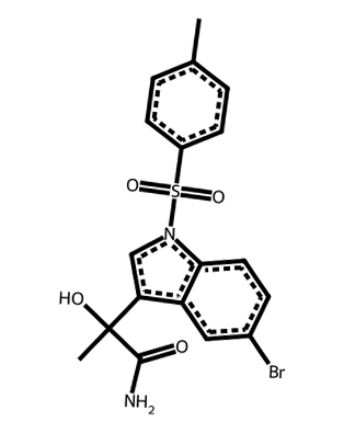 Cc1ccc(S(=O)(=O)n2cc(C(C)(O)C(N)=O)c3cc(Br)ccc32)cc1